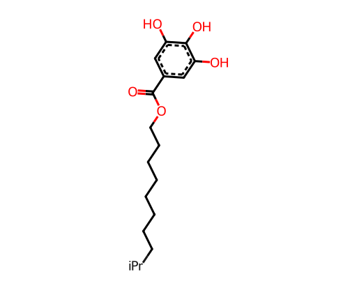 CC(C)CCCCCCCCOC(=O)c1cc(O)c(O)c(O)c1